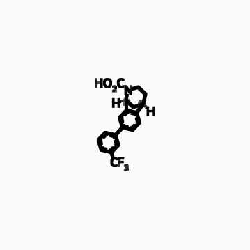 O=C(O)N1CC[C@@H]2C[C@H]1c1cc(-c3cccc(C(F)(F)F)c3)ccc12